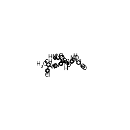 CC1(C)CCC(CN2CCN(c3ccc(C(=O)NS(=O)(=O)c4ccc(N[C@H]5CC[C@@H](N6CCOCC6)CC5)c([N+](=O)[O-])c4)c(N4CCCOc5nc6[nH]ccc6cc54)c3)CC2)=C(c2ccc(Cl)cc2)C1